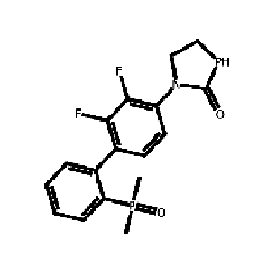 CP(C)(=O)c1ccccc1-c1ccc(N2CCPC2=O)c(F)c1F